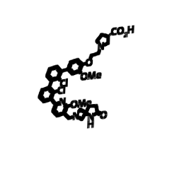 COc1cc(-c2cccc(-c3cccc(-c4ccc(CN5CC6(CCC(=O)N6)C5)c(OC)n4)c3Cl)c2Cl)ccc1OCCN1CC[C@H](C(=O)O)C1